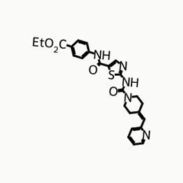 CCOC(=O)c1ccc(NC(=O)c2cnc(NC(=O)N3CCC(=Cc4ccccn4)CC3)s2)cc1